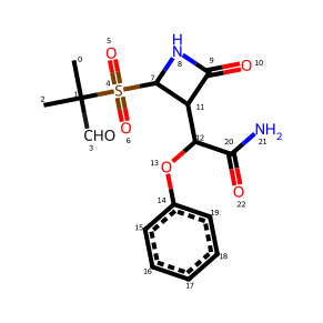 CC(C)(C=O)S(=O)(=O)C1NC(=O)C1C(Oc1ccccc1)C(N)=O